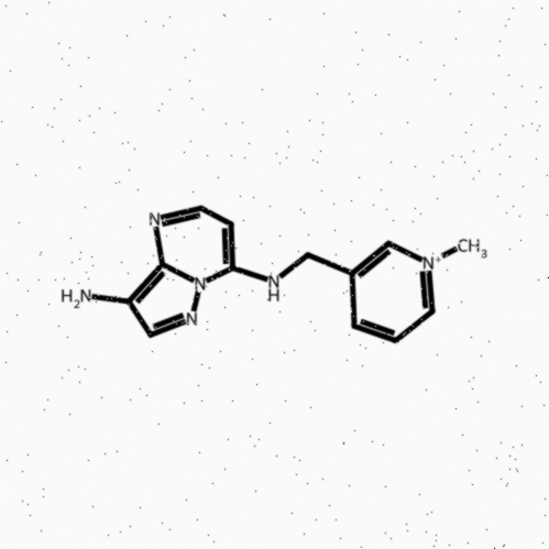 C[n+]1cccc(CNc2ccnc3c(N)cnn23)c1